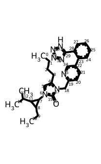 CCCCc1cn(C2C(CC)C2C(C)C)c(=O)n1Cc1ccc(-c2ccccc2-c2nnn[nH]2)cn1